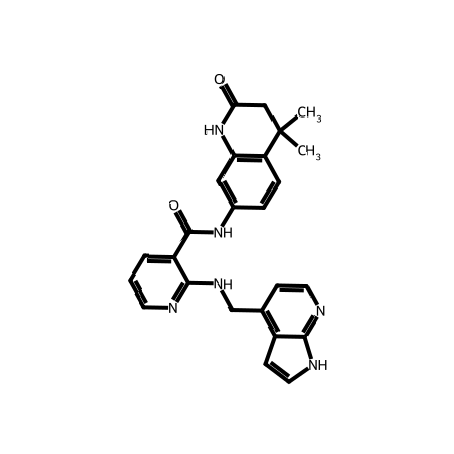 CC1(C)CC(=O)Nc2cc(NC(=O)c3cccnc3NCc3ccnc4[nH]ccc34)ccc21